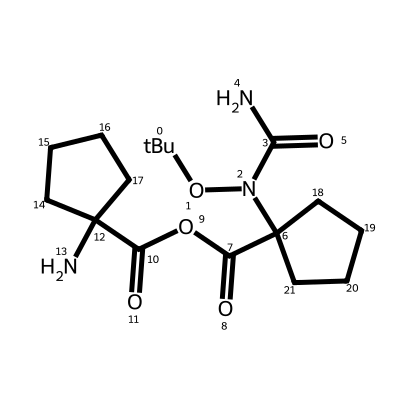 CC(C)(C)ON(C(N)=O)C1(C(=O)OC(=O)C2(N)CCCC2)CCCC1